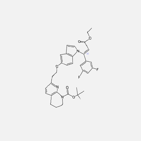 CCOC(=O)/C=C(/c1cc(F)cc(F)c1)n1ccc2cc(OCCc3ccc4c(n3)N(C(=O)OC(C)(C)C)CCC4)ccc21